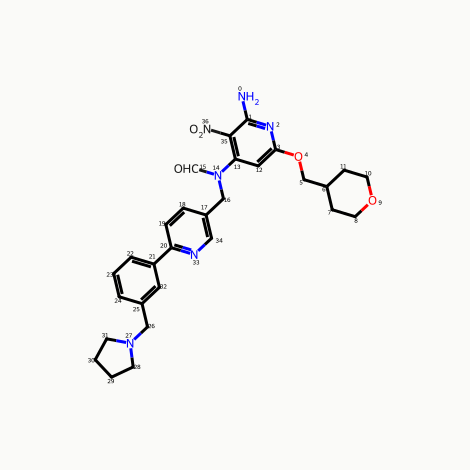 Nc1nc(OCC2CCOCC2)cc(N(C=O)Cc2ccc(-c3cccc(CN4CCCC4)c3)nc2)c1[N+](=O)[O-]